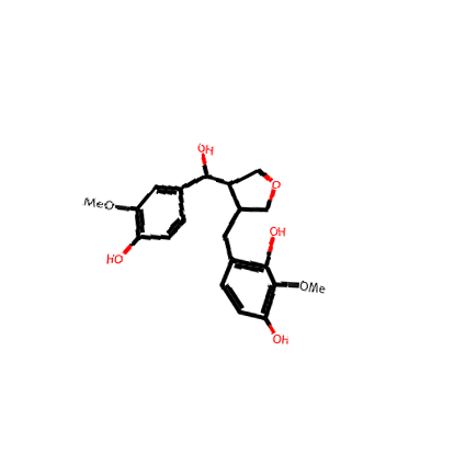 COc1cc(C(O)C2COCC2Cc2ccc(O)c(OC)c2O)ccc1O